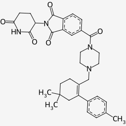 Cc1ccc(C2=C(CN3CCN(C(=O)c4ccc5c(c4)C(=O)N(C4CCC(=O)NC4=O)C5=O)CC3)CCC(C)(C)C2)cc1